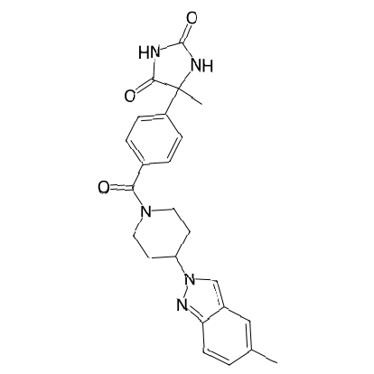 Cc1ccc2nn(C3CCN(C(=O)c4ccc(C5(C)NC(=O)NC5=O)cc4)CC3)cc2c1